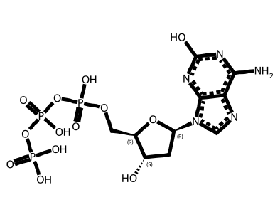 Nc1nc(O)nc2c1ncn2[C@H]1C[C@H](O)[C@@H](COP(=O)(O)OP(=O)(O)OP(=O)(O)O)O1